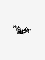 Cc1ccc2c(=O)[nH]c(CC[C@@H](C)[C@H]3CC[C@H]4[C@H]5C(CC[C@]34C)[C@@]3(C)CC[C@@H](O)C[C@H]3C[C@@H]5O)nc2c1